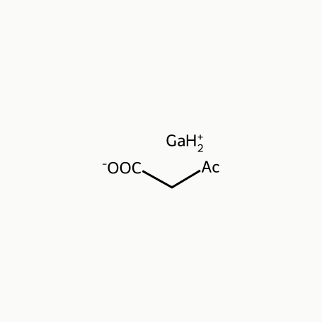 CC(=O)CC(=O)[O-].[GaH2+]